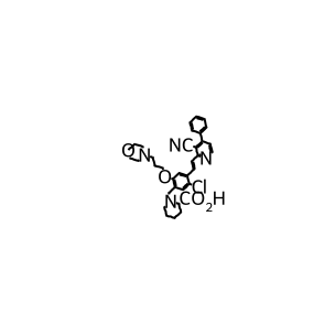 N#Cc1c(-c2ccccc2)ccnc1/C=C/c1cc(OCCCN2CCOCC2)c(CN2CCCCC2C(=O)O)cc1Cl